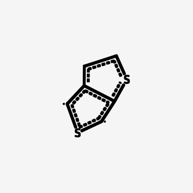 [c]1s[c]c2sccc12